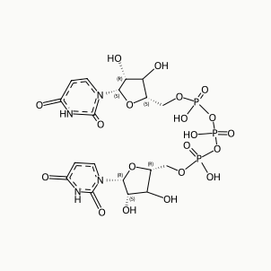 O=c1ccn([C@@H]2O[C@H](COP(=O)(O)OP(=O)(O)OP(=O)(O)OC[C@@H]3O[C@H](n4ccc(=O)[nH]c4=O)[C@H](O)C3O)C(O)[C@@H]2O)c(=O)[nH]1